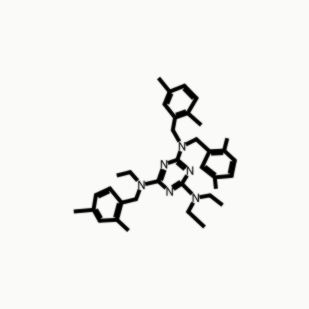 CCN(CC)c1nc(N(CC)Cc2ccc(C)cc2C)nc(N(Cc2cc(C)ccc2C)Cc2cc(C)ccc2C)n1